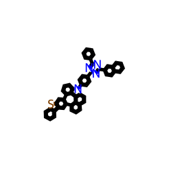 c1ccc(-c2nc(-c3ccc(-n4c5cccc6c5c5c7c(cccc7ccc54)-c4cc5c(cc4-6)sc4ccccc45)cc3)nc(-c3ccc4ccccc4c3)n2)cc1